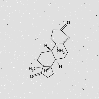 C[C@]12CC[C@H]3[C@@H](CCC4=CC(=O)CC[C@@]43N)[C@@H]1CCC2=O